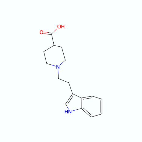 O=C(O)C1CCN(CCc2c[nH]c3ccccc23)CC1